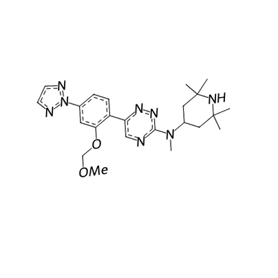 COCOc1cc(-n2nccn2)ccc1-c1cnc(N(C)C2CC(C)(C)NC(C)(C)C2)nn1